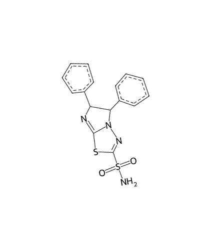 NS(=O)(=O)C1=NN2C(=NC(c3ccccc3)C2c2ccccc2)S1